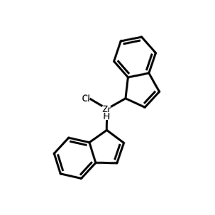 [Cl][ZrH]([CH]1C=Cc2ccccc21)[CH]1C=Cc2ccccc21